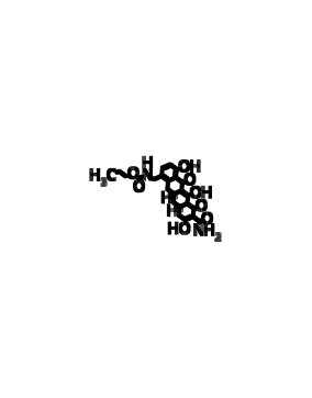 CCCOC(=O)NCc1ccc(O)c2c1C[C@H]1C[C@H]3CC(O)=C(C(N)=O)C(=O)C3C(O)=C1C2=O